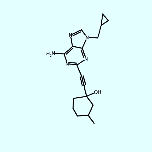 CC1CCCC(O)(C#Cc2nc(N)c3ncn(CC4CC4)c3n2)C1